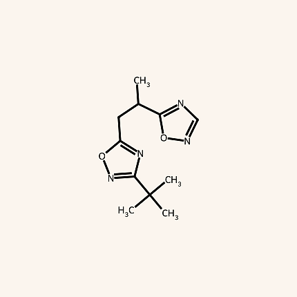 CC(Cc1nc(C(C)(C)C)no1)c1ncno1